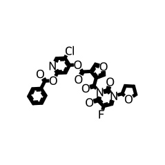 O=C(Oc1cc(OC(=O)c2cocc2C(=O)n2c(=O)c(F)cn(C3CCCO3)c2=O)c(Cl)cn1)c1ccccc1